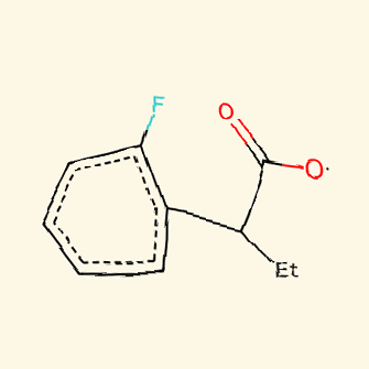 CCC(C([O])=O)c1ccccc1F